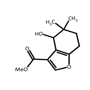 COC(=O)c1coc2c1C(O)C(C)(C)CC2